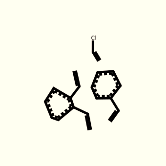 C=CCl.C=Cc1ccccc1.C=Cc1ccccc1C=C